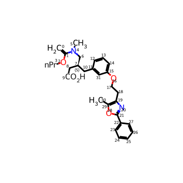 C=C(OCCC)N(C)C[C@H](CC(=O)O)Cc1cccc(OCCc2nc(-c3ccccc3)oc2C)c1